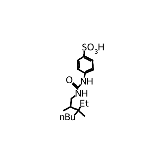 CCCCC(C)(CC)C(C)CNC(=O)Nc1ccc(S(=O)(=O)O)cc1